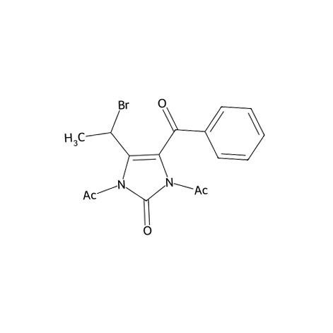 CC(=O)n1c(C(=O)c2ccccc2)c(C(C)Br)n(C(C)=O)c1=O